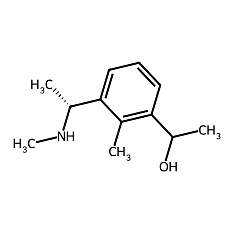 CN[C@H](C)c1cccc(C(C)O)c1C